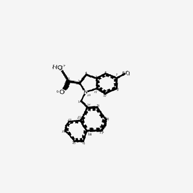 O=C(O)C1Cc2cc(Cl)ccc2N1Cc1cccc2ccccc12